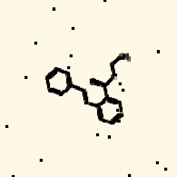 CCOC(=O)c1ccccc1C=Cc1ccccc1